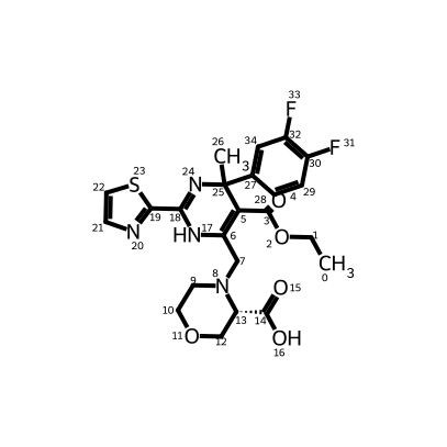 CCOC(=O)C1=C(CN2CCOC[C@H]2C(=O)O)NC(c2nccs2)=NC1(C)c1ccc(F)c(F)c1